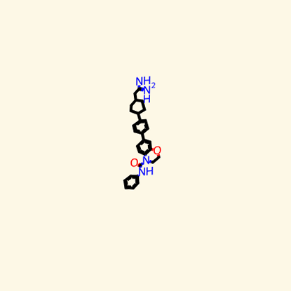 N=C(N)CC1CCC(c2ccc(-c3ccc4c(c3)OCCN4C(=O)Nc3ccccc3)cc2)CC1